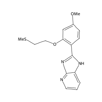 COc1ccc(-c2nc3ncccc3[nH]2)c(OCCSC)c1